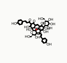 O=C(/C=C/c1ccc(O)cc1)C1=C(O)[C@](O)([C@@H]2O[C@H](CO)[C@@H](O)[C@H](O)[C@H]2O)C(O)=C(/C=C2/C(=O)C(C(=O)/C=C/c3ccc(O)cc3)=C(O)[C@@](O)([C@@H]3O[C@H](CO)[C@@H](O)[C@H](O)[C@H]3O)C2=O)C1=O